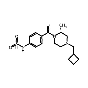 C[C@@H]1CN(CC2CCC2)CCN1C(=O)c1ccc(N[SH](=O)=O)cc1